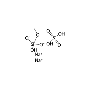 CO[Si]([O-])([O-])O.O=S(=O)(O)O.[Na+].[Na+]